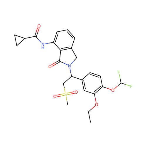 CCOc1cc(C(CS(C)(=O)=O)N2Cc3cccc(NC(=O)C4CC4)c3C2=O)ccc1OC(F)F